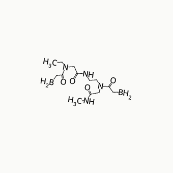 BCC(=O)N(CCNC(=O)CN(CC)C(=O)CB)CC(=O)NC